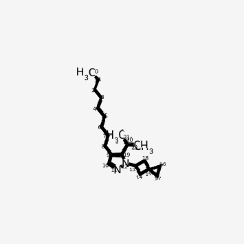 CCCCCCCCCc1cnn(C2CC3(CC3)C2)c1C(C)C